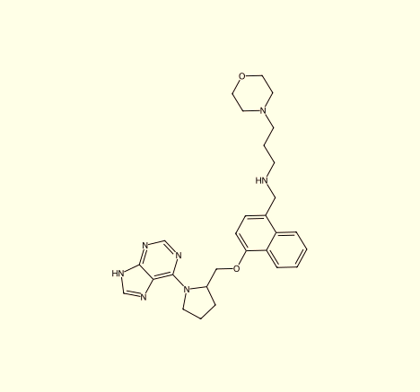 c1ccc2c(OCC3CCCN3c3ncnc4[nH]cnc34)ccc(CNCCCN3CCOCC3)c2c1